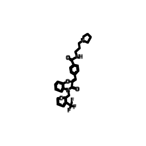 O=C(NCCCN1CCCC1)c1ccc(/C=C2\Oc3ccccc3N(Cc3ccccc3C(F)(F)F)C2=O)cc1